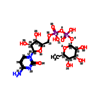 C[C@@H]1O[C@H](OP(=O)(O)OP(=O)(O)OC[C@H]2O[C@@H](n3ccc(N)nc3=O)[C@H](O)[C@@H]2O)[C@@H](O)[C@H](O)[C@@H]1O